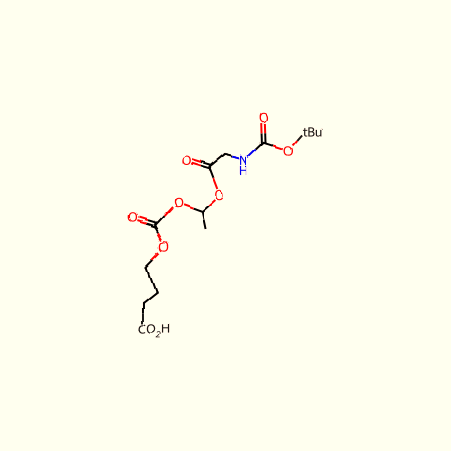 CC(OC(=O)CNC(=O)OC(C)(C)C)OC(=O)OCCCC(=O)O